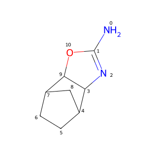 NC1=NC2C3CCC(C3)C2O1